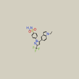 CCn1ccc2cc(-c3cc(C(F)(F)F)nn3-c3ccc(S(N)(=O)=O)cc3)ccc21